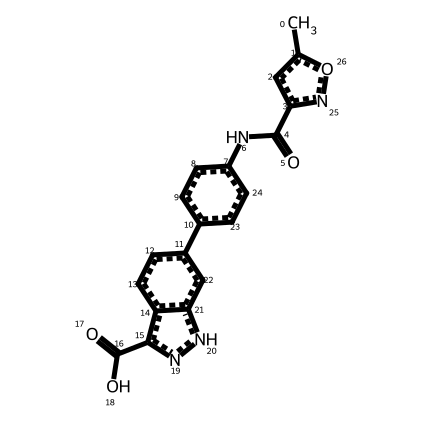 Cc1cc(C(=O)Nc2ccc(-c3ccc4c(C(=O)O)n[nH]c4c3)cc2)no1